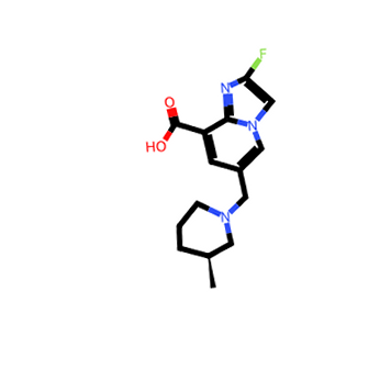 C[C@H]1CCCN(Cc2cc(C(=O)O)c3nc(F)cn3c2)C1